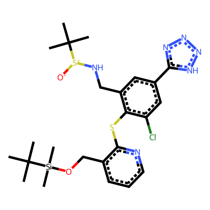 CC(C)(C)[S+]([O-])NCc1cc(-c2nnn[nH]2)cc(Cl)c1Sc1ncccc1CO[Si](C)(C)C(C)(C)C